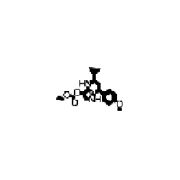 CCOC(=O)OC1=CNN2C1NC(C1CC1)CC2c1ccc(OC)cc1